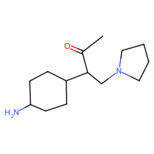 CC(=O)C(CN1CCCC1)C1CCC(N)CC1